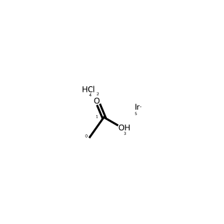 CC(=O)O.Cl.[Ir]